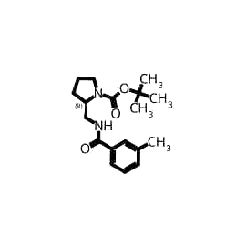 Cc1cccc(C(=O)NC[C@H]2CCCN2C(=O)OC(C)(C)C)c1